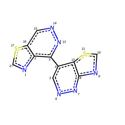 [c]1nc2c(-c3cnnc4ncsc34)nncc2s1